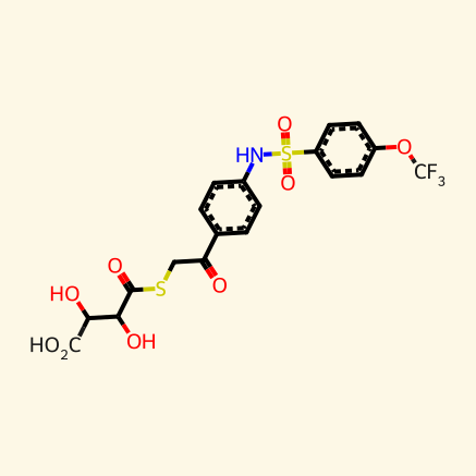 O=C(CSC(=O)C(O)C(O)C(=O)O)c1ccc(NS(=O)(=O)c2ccc(OC(F)(F)F)cc2)cc1